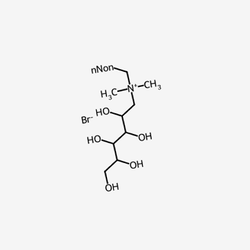 CCCCCCCCCC[N+](C)(C)CC(O)C(O)C(O)C(O)CO.[Br-]